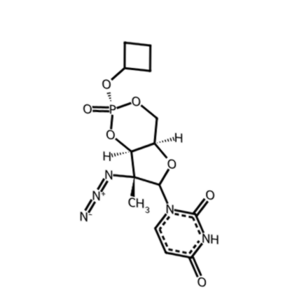 C[C@]1(N=[N+]=[N-])C(n2ccc(=O)[nH]c2=O)O[C@@H]2CO[P@@](=O)(OC3CCC3)O[C@@H]21